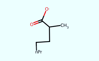 CCCCCC(C)C([O])=O